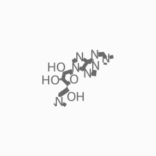 CN(C)/C=N\c1ncnc2c1ncn2[C@@H]1O[C@H](/C(O)=C/N(C)C)[C@@H](O)[C@H]1O